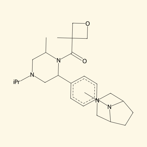 CC(C)N1CC(C)N(C(=O)C2(C)COC2)C(c2ccc(N3C4CCC3CN(C)C4)cc2)C1